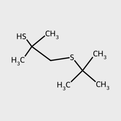 CC(C)(S)CSC(C)(C)C